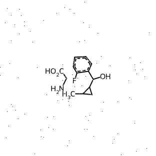 CC1CC1C(O)c1ccccc1F.NCC(=O)O